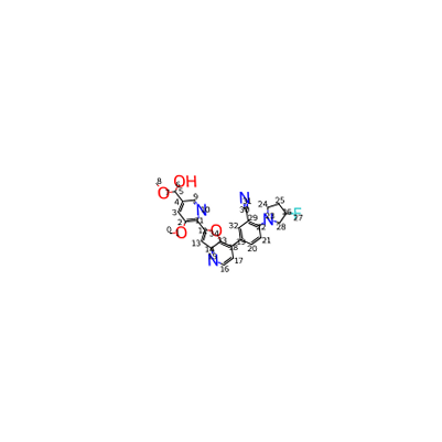 COc1cc(C(O)OC)cnc1-c1cc2nccc(-c3ccc(N4CC[C@@H](F)C4)c(C#N)c3)c2o1